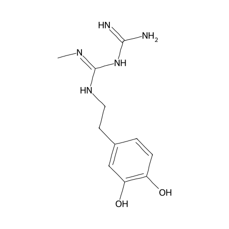 C/N=C(\NCCc1ccc(O)c(O)c1)NC(=N)N